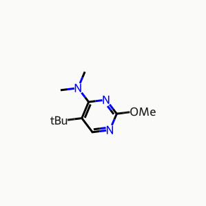 COc1ncc(C(C)(C)C)c(N(C)C)n1